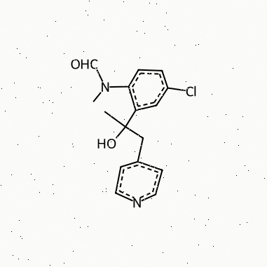 CN(C=O)c1ccc(Cl)cc1C(C)(O)Cc1ccncc1